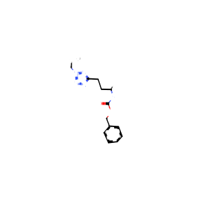 COCn1nnc(CCC(NC(=O)OCc2ccccc2)C(=O)O)n1